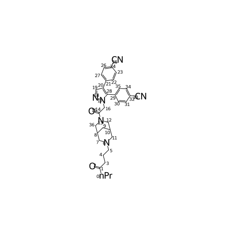 CCCC(=O)CCCN1CC2CC(C1)CN(C(=O)Cn1ncc(-c3ccc(C#N)cc3)c1-c1ccc(C#N)cc1)C2